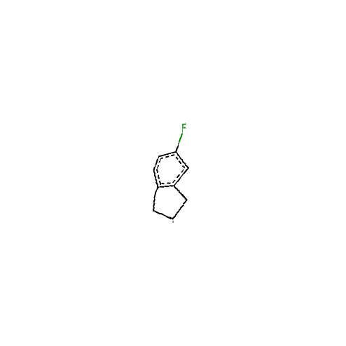 Fc1ccc2c(c1)C[CH]C2